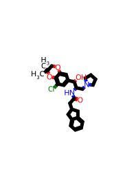 CC1(C)COc2cc(C(O)C(CN3CCCC3)NC(=O)CC3Cc4ccccc4C3)cc(Cl)c2O1